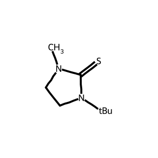 CN1CCN(C(C)(C)C)C1=S